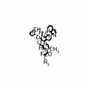 C=C(F)C(=O)N1C[C@@H]2COc3c(OC[C@@H]4CCCN4C)nc4c(c3N2C[C@H]1C)CCN(c1nccc2c1N(C)CCC2)C4